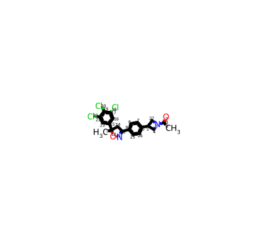 CC(=O)N1CC(c2ccc(C3=NOC(C)(c4cc(Cl)c(Cl)c(Cl)c4)C3)cc2)C1